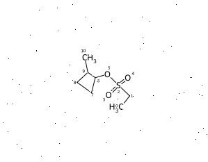 CCS(=O)(=O)OC1CCC1C